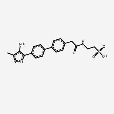 Cc1noc(-c2ccc(-c3ccc(CC(=O)NCCS(=O)(=O)O)cc3)cc2)c1N